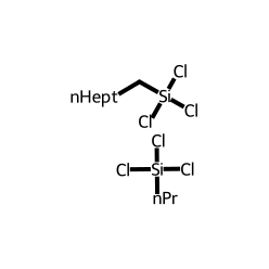 CCCCCCCC[Si](Cl)(Cl)Cl.CCC[Si](Cl)(Cl)Cl